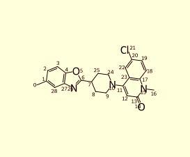 Cc1ccc2oc(C3CCN(c4cc(=O)n(C)c5ccc(Cl)cc45)CC3)nc2c1